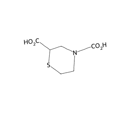 O=C(O)C1CN(C(=O)O)CCS1